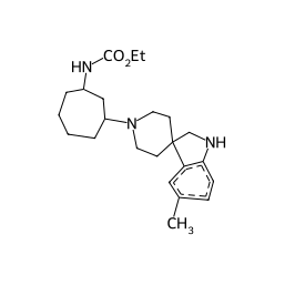 CCOC(=O)NC1CCCCC(N2CCC3(CC2)CNc2ccc(C)cc23)C1